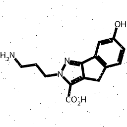 NCCCn1nc2c(c1C(=O)O)Cc1ccc(O)cc1-2